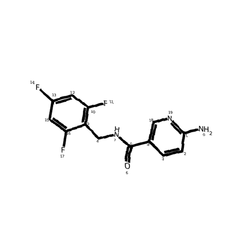 Nc1ccc(C(=O)NCc2c(F)cc(F)cc2F)cn1